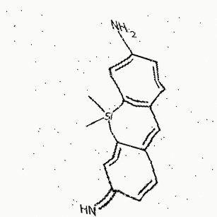 C[Si]1(C)C2=CC(=N)C=CC2=Cc2ccc(N)cc21